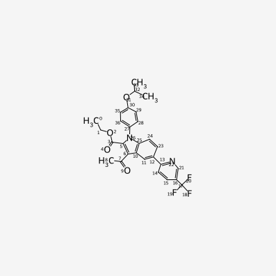 CCOC(=O)c1c(C(C)=O)c2cc(-c3ccc(C(F)(F)F)cn3)ccc2n1-c1ccc(OC(C)C)cc1